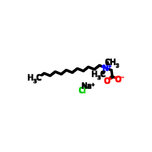 CCCCCCCCCCCC[N+](C)(C)CC(=O)[O-].[Cl-].[Na+]